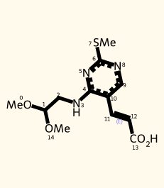 COC(CNc1nc(SC)ncc1/C=C/C(=O)O)OC